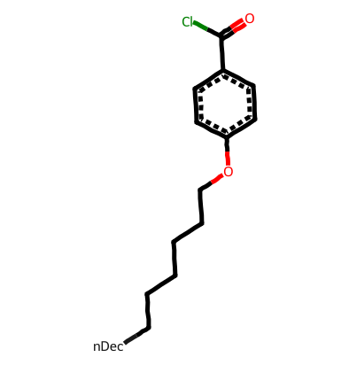 CCCCCCCCCCCCCCCCOc1ccc(C(=O)Cl)cc1